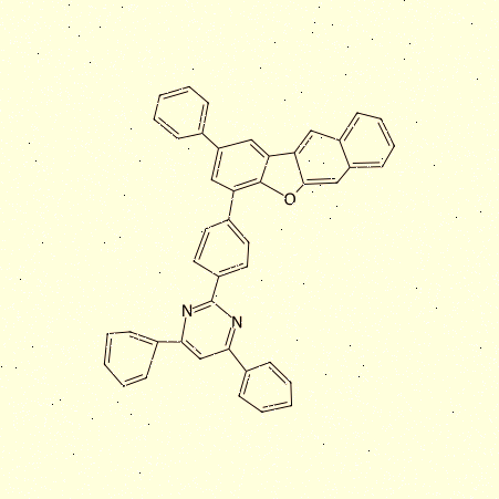 c1ccc(-c2cc(-c3ccc(-c4nc(-c5ccccc5)cc(-c5ccccc5)n4)cc3)c3oc4cc5ccccc5cc4c3c2)cc1